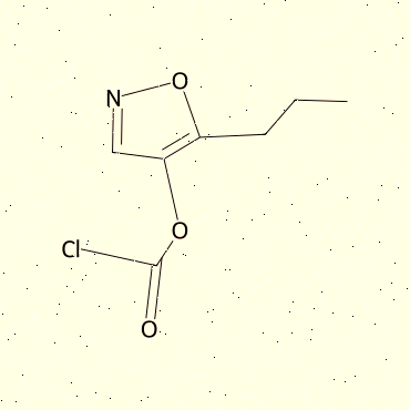 CCCc1oncc1OC(=O)Cl